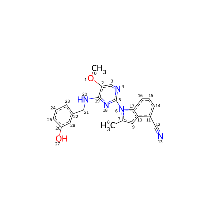 COc1cnc(-n2c(C)cc3c(C#N)cccc32)nc1NCc1cccc(O)c1